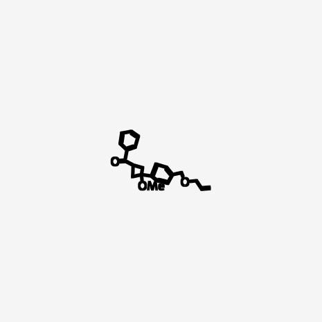 C=CCOCc1ccc(C2(OC)CC(C(=O)c3ccccc3)C2)cc1